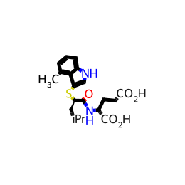 Cc1cccc2[nH]cc(S[C@H](CC(C)C)C(=O)NC(CCC(=O)O)C(=O)O)c12